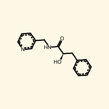 O=C(NCc1cccnc1)[C@H](O)Cc1ccccc1